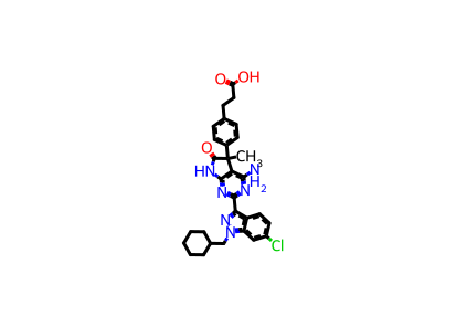 CC1(c2ccc(CCC(=O)O)cc2)C(=O)Nc2nc(-c3nn(CC4CCCCC4)c4cc(Cl)ccc34)nc(N)c21